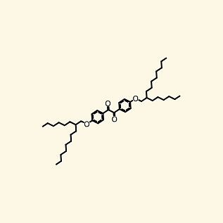 CCCCCCCCC(CCCCCC)COc1ccc(C(=O)C(=O)c2ccc(OCC(CCCCCC)CCCCCCCC)cc2)cc1